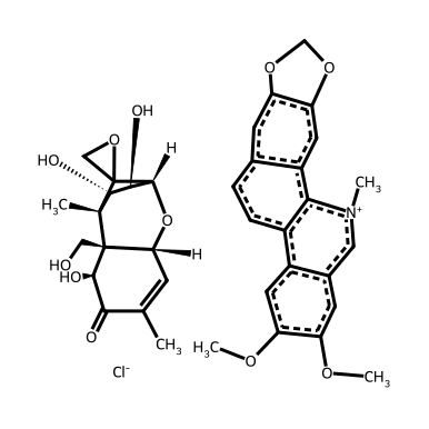 CC1=C[C@H]2O[C@@H]3[C@H](O)[C@@H](O)[C@@](C)(C34CO4)[C@@]2(CO)[C@H](O)C1=O.COc1cc2c[n+](C)c3c4cc5c(cc4ccc3c2cc1OC)OCO5.[Cl-]